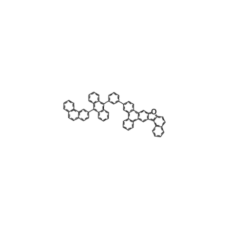 c1cc(-c2ccc3c(c2)c2ccccc2c2cc4c(cc32)oc2ccc3ccccc3c24)cc(-c2c3ccccc3c(-c3ccc4ccc5ccccc5c4c3)c3ccccc23)c1